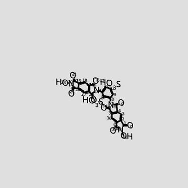 O=c1c2cc3c(=O)n(-c4ccc(S(=O)(=O)O)c(-n5c(=O)c6cc7c(=O)n(O)c(=O)c7cc6c5=O)c4S(=O)(=O)O)c(=O)c3cc2c(=O)n1O